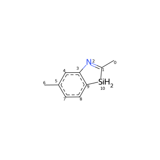 CC1=Nc2cc(C)ccc2[SiH2]1